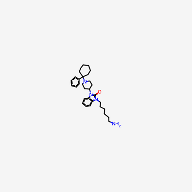 NCCCCCCn1c(=O)n(C2CCN(C3(c4ccccc4)CCCCCC3)CC2)c2ccccc21